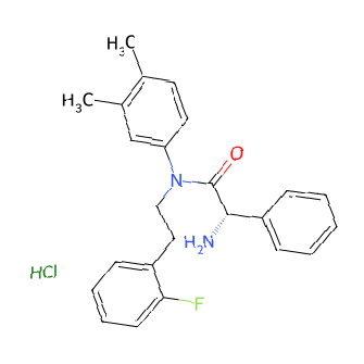 Cc1ccc(N(CCc2ccccc2F)C(=O)[C@@H](N)c2ccccc2)cc1C.Cl